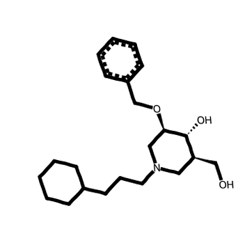 OC[C@H]1CN(CCCC2CCCCC2)C[C@@H](OCc2ccccc2)[C@@H]1O